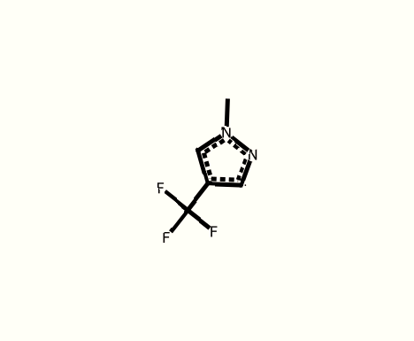 Cn1cc(C(F)(F)F)[c]n1